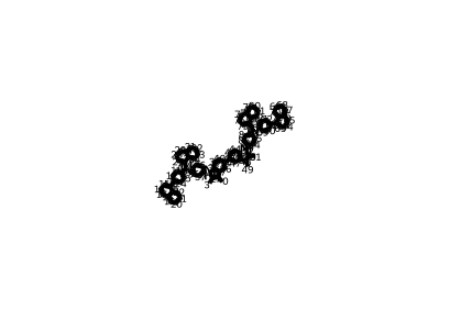 Cc1c(C)n(-c2ccc(N(c3ccc(-c4cccc5ccccc45)cc3)c3cccc4ccccc34)cc2)c2ccc(-c3ccc4c(c3)c(C)c(C)n4-c3ccc(N(c4ccc(-c5cccc6ccccc56)cc4)c4cccc5ccccc45)cc3)cc12